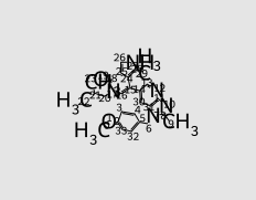 COc1ccc(Cn2c(C)nc3ncc(/C(=C/N(C=O)CC(C)C)c4cc[nH]c4C)cc32)cc1